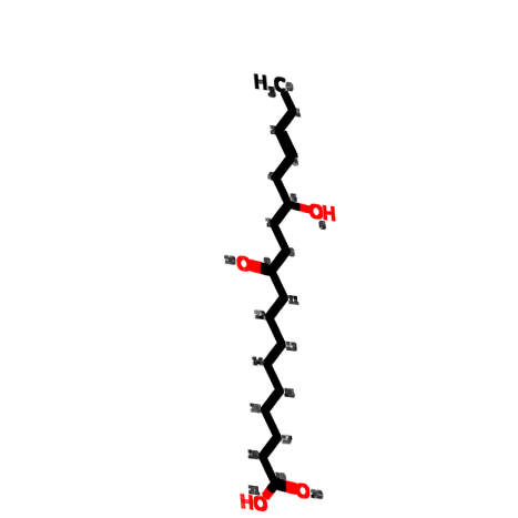 CCC=CCC(O)CCC(=O)CCCCCCCCC(=O)O